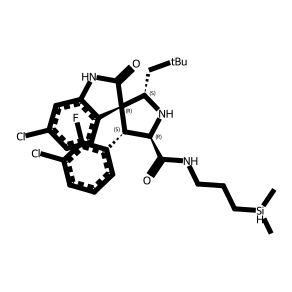 C[SiH](C)CCCNC(=O)[C@@H]1N[C@@H](CC(C)(C)C)[C@@]2(C(=O)Nc3cc(Cl)ccc32)[C@H]1c1cccc(Cl)c1F